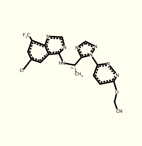 C[C@H](Nc1ncnc2c(C(F)(F)F)cc(Cl)cc12)c1ncnn1-c1ccc(OCC#N)nn1